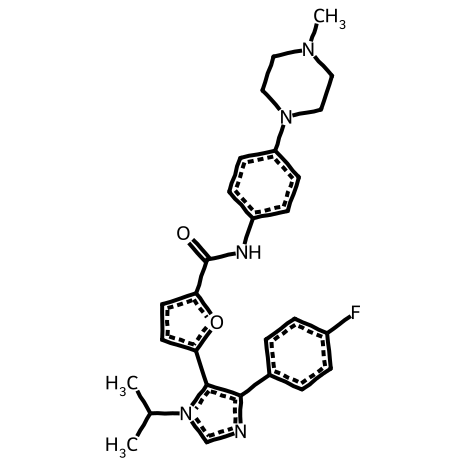 CC(C)n1cnc(-c2ccc(F)cc2)c1-c1ccc(C(=O)Nc2ccc(N3CCN(C)CC3)cc2)o1